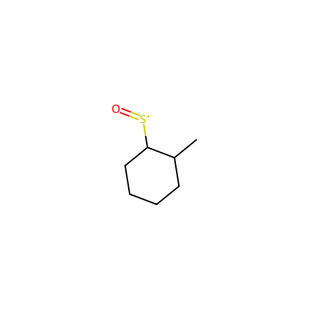 CC1CCCCC1[S+]=O